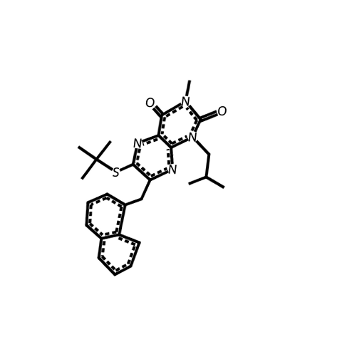 CC(C)Cn1c(=O)n(C)c(=O)c2nc(SC(C)(C)C)c(Cc3cccc4ccccc34)nc21